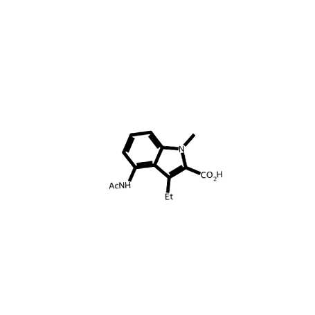 CCc1c(C(=O)O)n(C)c2cccc(NC(C)=O)c12